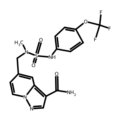 CN(Cc1ccn2ncc(C(N)=O)c2c1)S(=O)(=O)Nc1ccc(OC(F)(F)F)cc1